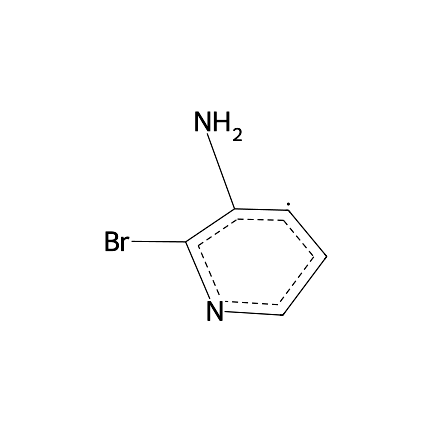 Nc1[c]ccnc1Br